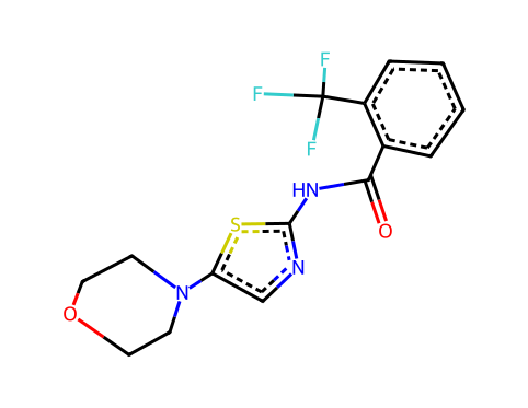 O=C(Nc1ncc(N2CCOCC2)s1)c1ccccc1C(F)(F)F